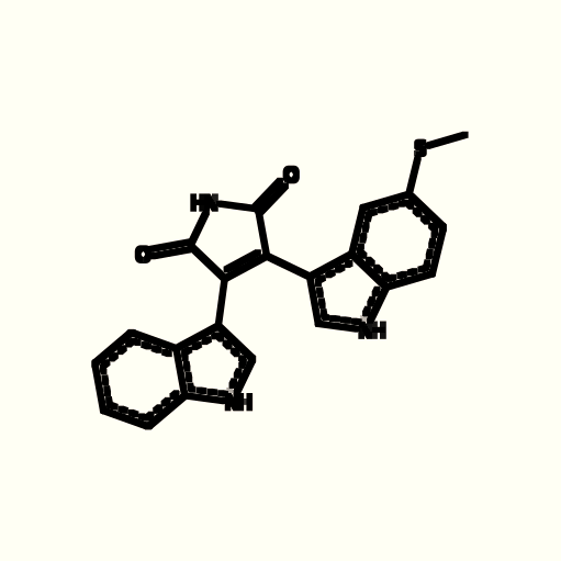 CSc1ccc2[nH]cc(C3=C(c4c[nH]c5ccccc45)C(=O)NC3=O)c2c1